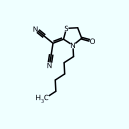 CCCCCCN1C(=O)CSC1=C(C#N)C#N